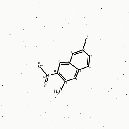 Cc1cc2ccc(Cl)cc2cc1[N+](=O)[O-]